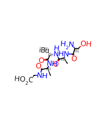 CC[C@H](C)[C@H](NC(=O)[C@H](C)NC(=O)[C@@H](N)CO)C(=O)N[C@@H](C)C(=O)NCC(=O)O